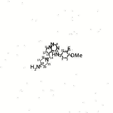 COc1ccc(Nc2ncnn3ccc(CN4CCC(N)CC4)c23)cc1F